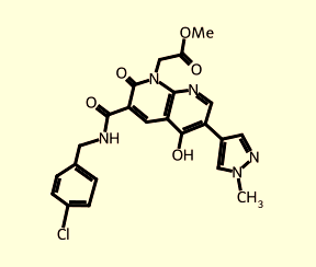 COC(=O)Cn1c(=O)c(C(=O)NCc2ccc(Cl)cc2)cc2c(O)c(-c3cnn(C)c3)cnc21